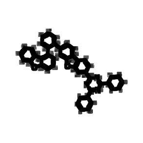 c1ccc(-c2nc(-c3ccccc3)nc(-c3ccc4c(c3)oc3cc(-c5ccccc5-c5cccc6oc7ccccc7c56)ccc34)n2)cc1